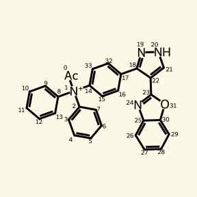 CC(=O)[N+](c1ccccc1)(c1ccccc1)c1ccc(-c2n[nH]cc2-c2nc3ccccc3o2)cc1